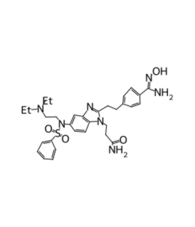 CCN(CC)CCN(c1ccc2c(c1)nc(CCc1ccc(C(N)=NO)cc1)n2CCC(N)=O)S(=O)(=O)c1ccccc1